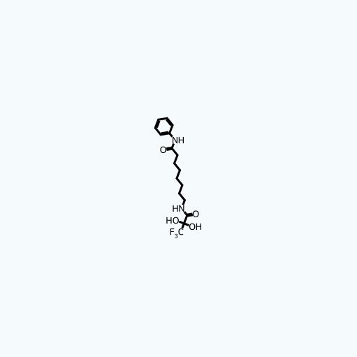 O=C(CCCCCCCNC(=O)C(O)(O)C(F)(F)F)Nc1ccccc1